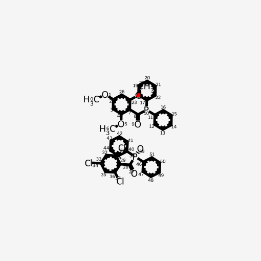 COc1cc(OC)c(C(=O)P(c2ccccc2)c2ccccc2)c(OC)c1.O=C(c1c(Cl)cc(Cl)cc1Cl)P(=O)(c1ccccc1)c1ccccc1